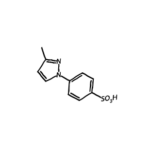 Cc1ccn(-c2ccc(S(=O)(=O)O)cc2)n1